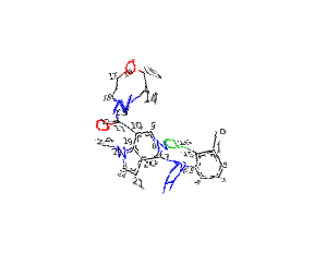 Cc1cccc(Nc2ncc(C(=O)N3CCOCC3)c3c2ccn3C)c1Cl